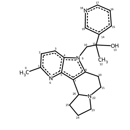 Cc1ccc2c(n1)c1c(n2CC(C)(O)c2cccnc2)CCN2CCCC12